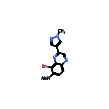 CNc1ccc2ncc(-c3cnn(C)c3)nc2c1Br